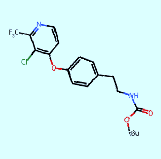 CC(C)(C)OC(=O)NCCc1ccc(Oc2ccnc(C(F)(F)F)c2Cl)cc1